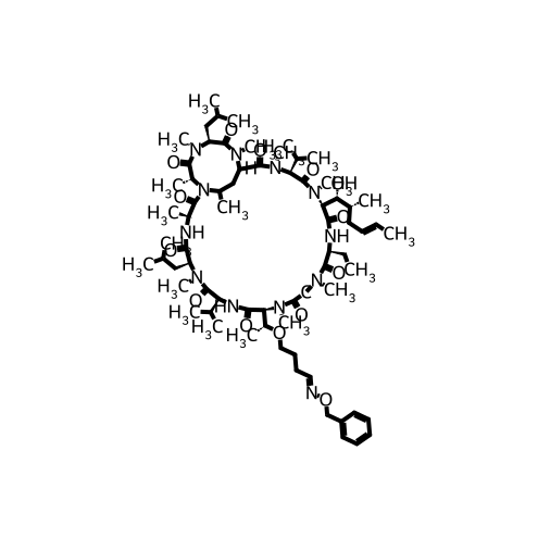 C/C=C/C[C@@H](C)[C@@H](O)[C@@H]1C(=O)N[C@@H](CC)C(=O)N(C)CC(=O)N(C)[C@@H]([C@@H](C)OCCC/C=N/OCc2ccccc2)C(=O)N[C@@H](C(C)C)C(=O)N(C)[C@@H](CC(C)C)C(=O)N[C@@H](C)C(=O)N2C(C)C[C@@H](C(=O)N(C)[C@@H](C(C)C)C(=O)N1C)N(C)C(=O)[C@H](CC(C)C)N(C)C(=O)[C@H]2C